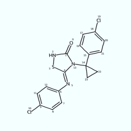 O=c1[nH]sc(=Nc2ccc(Cl)cc2)n1C1(c2ccc(Cl)cc2)CC1